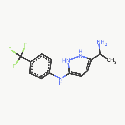 CC(N)C1=CC=C(Nc2ccc(C(F)(F)F)cc2)NN1